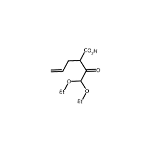 C=CCC(C(=O)O)C(=O)C(OCC)OCC